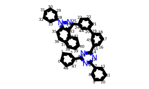 c1ccc(-c2nc(-c3ccccc3)nc(-c3cccc(-c4cccc(-c5nn(-c6ccccc6)c6ccc7ccccc7c56)c4)c3)n2)cc1